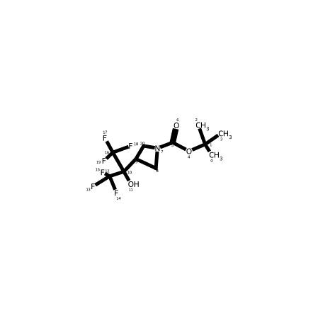 CC(C)(C)OC(=O)N1CC(C(O)(C(F)(F)F)C(F)(F)F)C1